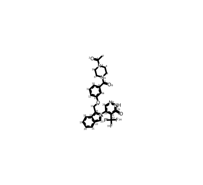 CC(=O)N1CCN(C(=O)c2cccc(OCc3c4ccccc4cn3-c3cn[nH]c(=O)c3C(F)(F)F)c2)CC1